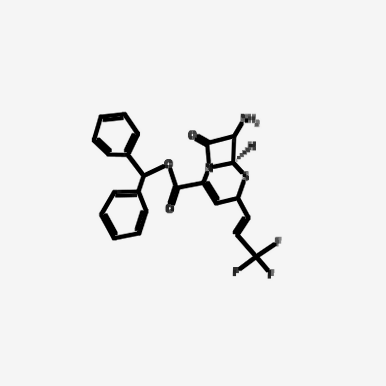 NC1C(=O)N2C(C(=O)OC(c3ccccc3)c3ccccc3)=CC(/C=C/C(F)(F)F)S[C@H]12